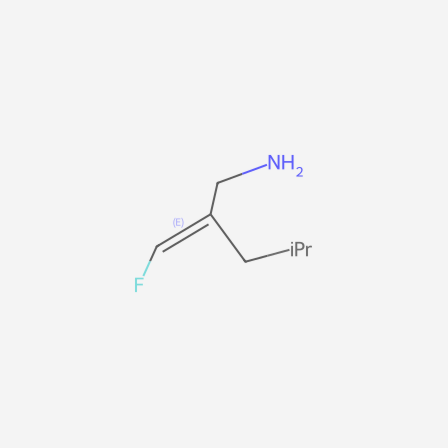 CC(C)C/C(=C\F)CN